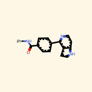 CC(C)NC(=O)c1ccc(-c2nccc3[nH]ccc23)cc1